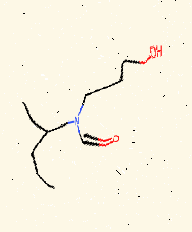 CCC(C)N(C=O)CCCO